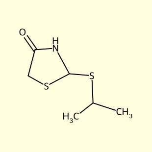 CC(C)SC1NC(=O)CS1